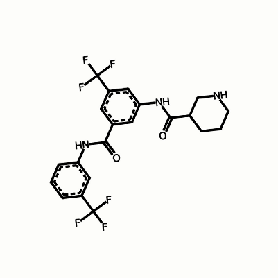 O=C(Nc1cccc(C(F)(F)F)c1)c1cc(NC(=O)C2CCCNC2)cc(C(F)(F)F)c1